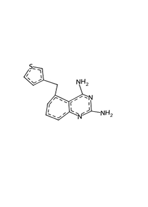 Nc1nc(N)c2c(Cc3ccsc3)cccc2n1